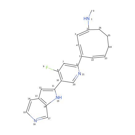 CN/C1=C/C=C(c2cc(F)c(-c3cc4ccncc4[nH]3)cn2)\C=C/CCC1